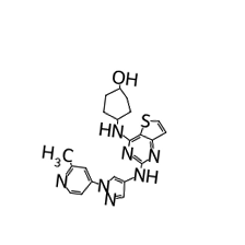 Cc1cc(-n2cc(Nc3nc(NC4CCC(O)CC4)c4sccc4n3)cn2)ccn1